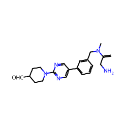 C=C(CN)N(C)Cc1cccc(-c2cnc(N3CCC(C=O)CC3)nc2)c1